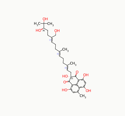 C/C(=C\CC/C(C)=C/C[C@]1(O)C(=O)c2c(O)cc(C)c3c(O)cc(O)c(c23)C1=O)CC/C=C(\CO)CC[C@@H](O)C(C)(C)O